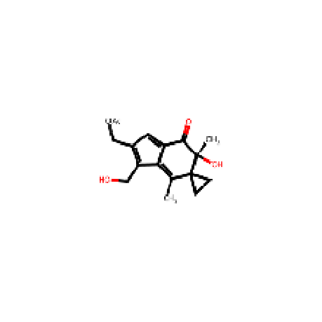 CC(=O)OCC1=C(CO)C2=C(C)C3(CC3)[C@@](C)(O)C(=O)C2=C1